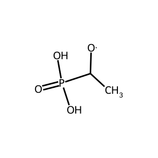 CC([O])P(=O)(O)O